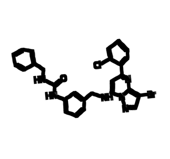 O=C(NCc1ccccc1)Nc1cccc(CNc2cc(-c3ccccc3Cl)nc3c(Br)cnn23)c1